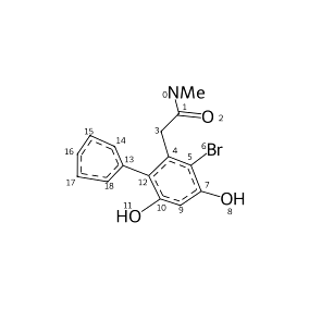 CNC(=O)Cc1c(Br)c(O)cc(O)c1-c1ccccc1